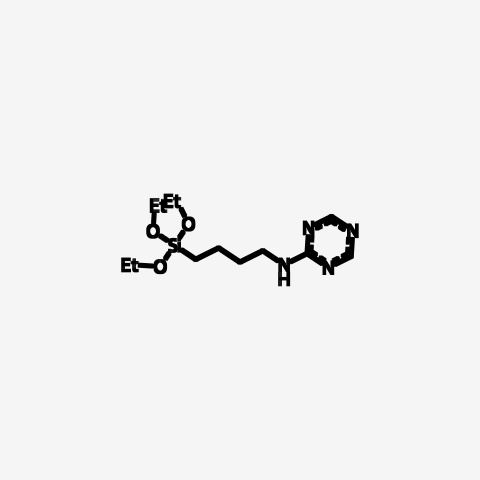 CCO[Si](CCCCNc1ncncn1)(OCC)OCC